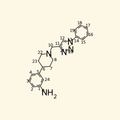 Nc1cccc(C2CCN(Cc3cn(-c4ccccc4)nn3)CC2)c1